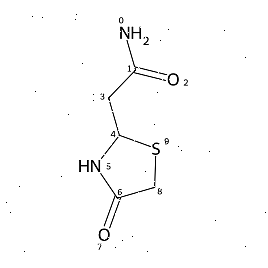 NC(=O)CC1NC(=O)CS1